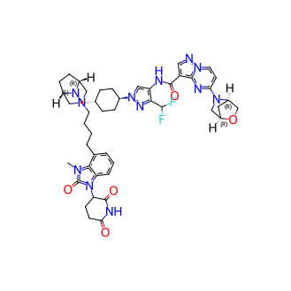 Cn1c(=O)n(C2CCC(=O)NC2=O)c2cccc(CCCCN3C[C@H]4CC[C@@H](C3)N4C[C@H]3CC[C@H](n4cc(NC(=O)c5cnn6ccc(N7C[C@H]8C[C@@H]7CO8)nc56)c(C(F)F)n4)CC3)c21